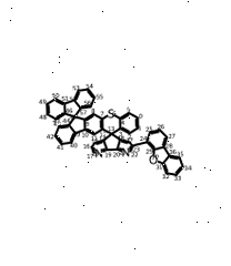 c1ccc2c(c1)Sc1cc3c(cc1C21c2cccnc2-c2ncc(-c4cccc5c4oc4ccccc45)cc21)-c1ccccc1C31c2ccccc2-c2ccccc21